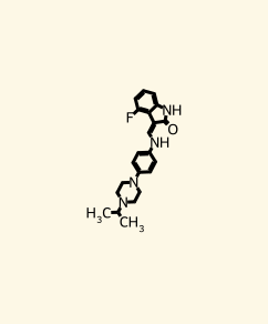 CC(C)N1CCN(c2ccc(NC=C3C(=O)Nc4cccc(F)c43)cc2)CC1